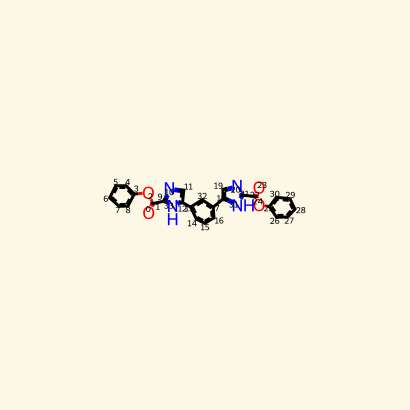 O=C(Oc1ccccc1)c1ncc(-c2cccc(-c3cnc(C(=O)Oc4ccccc4)[nH]3)c2)[nH]1